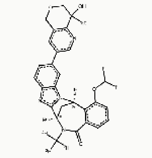 [2H]C([2H])([2H])N1C(=O)c2cccc(OC(F)F)c2[C@H]2C[C@@H]1c1nc3ccc(-c4cnc5c(c4)COCC5(O)CC)cc3n12